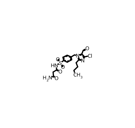 CCCCc1nc(Cl)c(C=O)n1Cc1ccc(S(=O)(=O)NC(=O)CC(N)=O)cc1